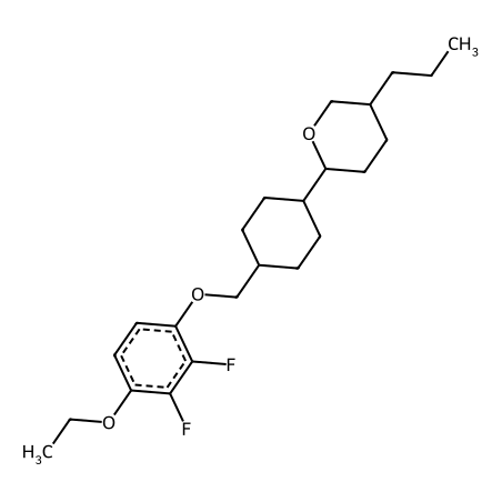 CCCC1CCC(C2CCC(COc3ccc(OCC)c(F)c3F)CC2)OC1